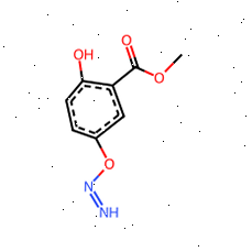 COC(=O)c1cc(ON=N)ccc1O